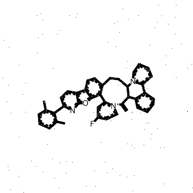 C=C1C2c3ccccc3-c3cccc[n+]3C2CCc2ccc3c(oc4nc(-c5c(C)cccc5C)ccc43)c2-c2cc(F)cc[n+]21